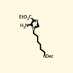 CCCCCCCCCCCCCCCCn1cnc(C(=O)OCC)c1N